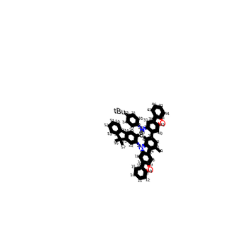 Cc1cc2c3c4c1c1cc5oc6ccccc6c5cc1n4-c1cc4c(cc1B3N(c1ccc(C(C)(C)C)cc1)c1cc3c(cc1-2)oc1ccccc13)-c1ccccc1C4(C)C